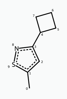 Cc1cc(C2CCC2)ns1